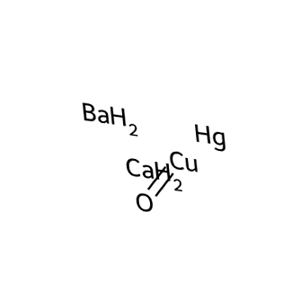 [BaH2].[CaH2].[Hg].[O]=[Cu]